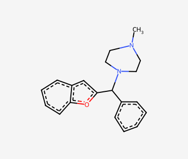 CN1CCN(C(c2ccccc2)c2cc3ccccc3o2)CC1